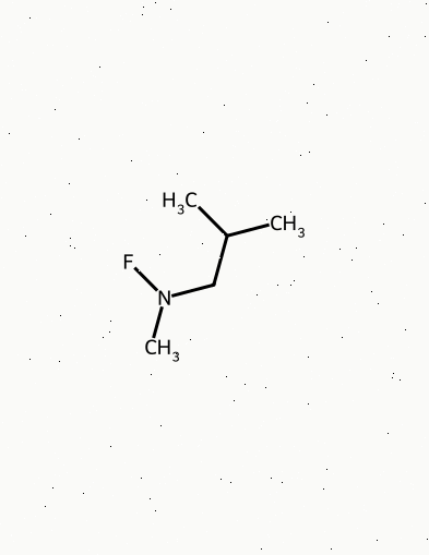 CC(C)CN(C)F